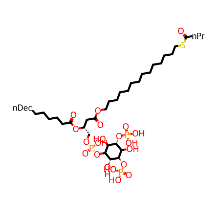 CCCCCCCCCCCCCCCC(=O)O[C@@H](COP(=O)(O)OC1C(O)[C@H](OP(=O)(O)O)C(O)[C@H](OP(=O)(O)O)[C@@H]1O)CC(=O)OCCCCCCCCCCCCCCSC(=O)CCC